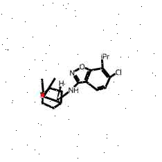 CC(C)c1c(Cl)ccc2c(N[C@@H]3C4CCN(CC4)C3(C)C)noc12